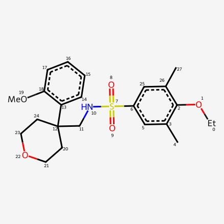 CCOc1c(C)cc(S(=O)(=O)NCC2(c3ccccc3OC)CCOCC2)cc1C